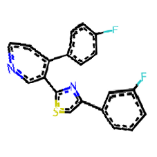 Fc1ccc(-c2ccncc2-c2nc(-c3cccc(F)c3)cs2)cc1